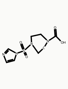 O=C(O)N1CCN(S(=O)(=O)n2ccnc2)CC1